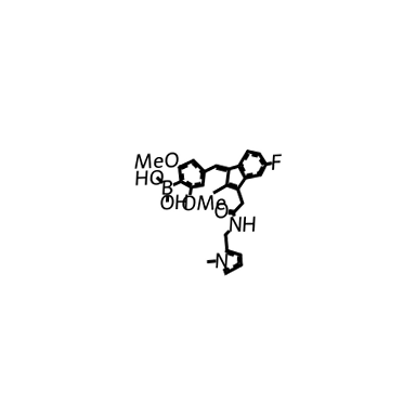 COc1cc(C=C2C(C)=C(CC(=O)NCc3cccn3C)c3cc(F)ccc32)cc(OC)c1B(O)O